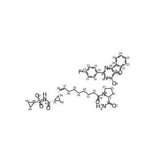 NC(=O)[C@@H]1C[C@@H](Oc2nc(-c3ccc(F)cc3)nc3c2oc2ccccc23)CN1C(=O)CCCCCC/C=C\[C@@H]1C[C@@H]1C(=O)NS(=O)(=O)C1CC1